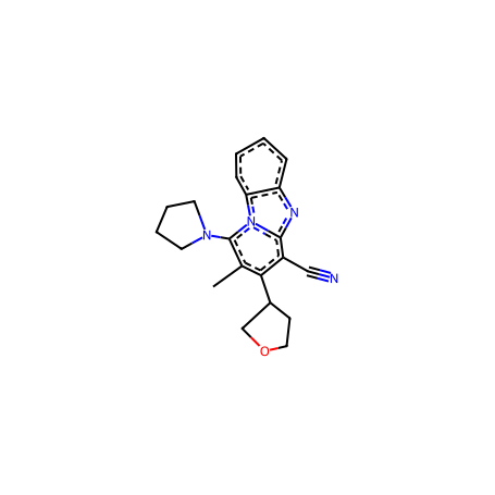 Cc1c(C2CCOC2)c(C#N)c2nc3ccccc3n2c1N1CCCC1